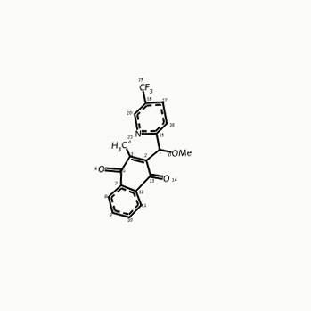 COC(C1=C(C)C(=O)c2ccccc2C1=O)c1ccc(C(F)(F)F)cn1